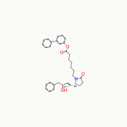 O=C(CCCCCCN1C(=O)CC[C@@H]1/C=C/[C@@H](O)Cc1ccccc1)Oc1cccc(-c2ccccc2)c1